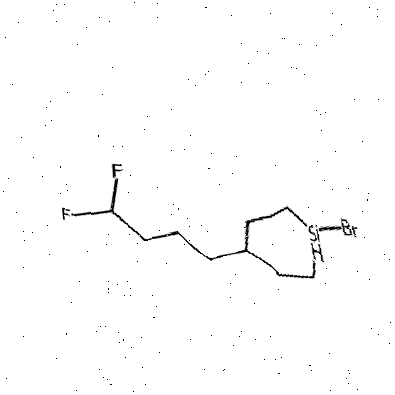 FC(F)CCCC1CC[SiH](Br)CC1